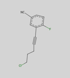 N#Cc1ccc(F)c(C#CCCCCl)c1